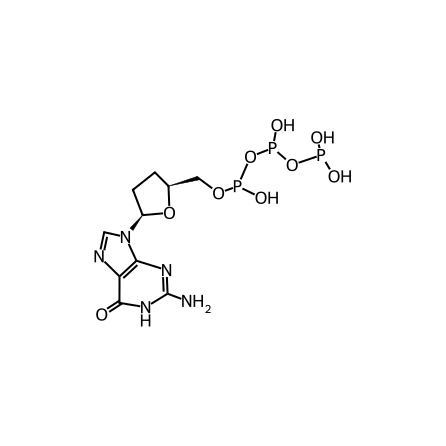 Nc1nc2c(ncn2[C@H]2CC[C@@H](COP(O)OP(O)OP(O)O)O2)c(=O)[nH]1